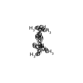 COc1ccc(C(c2ccc(OC)cc2)(c2ccc(OC)cc2)n2cc(-c3ccc(C(OC)C(=O)c4ccc(-c5cc(OC)c(C)c(OC)c5)o4)cc3)cn2)cc1